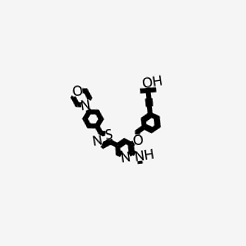 CNc1ncc(-c2cnc(C3CCC(N4CCOCC4)CC3)s2)cc1OCc1cccc(C#CC(C)(C)O)c1